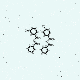 O=C(OC(=O)c1ccc(Cl)cc1)c1ccccc1.O=C(OC(=O)c1cccc(Cl)c1)c1ccccc1